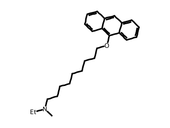 CCN(C)CCCCCCCCCOc1c2ccccc2cc2ccccc12